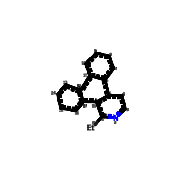 CCc1nccc2c3ccccc3c3ccccc3c12